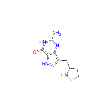 Nc1nc2c(CC3CCCN3)c[nH]c2c(=O)[nH]1